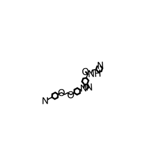 N#Cc1ccc(OCCOc2ccc(-n3cnc4cc(C(=O)NCc5cccnc5)ccc43)cc2)cc1